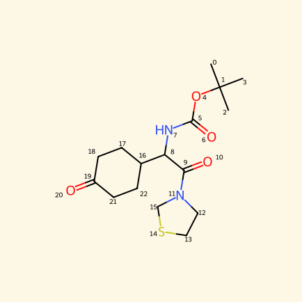 CC(C)(C)OC(=O)NC(C(=O)N1CCSC1)C1CCC(=O)CC1